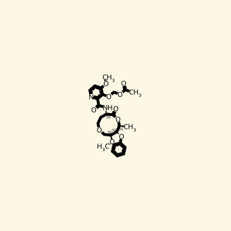 COc1ccnc(C(=O)N[C@H]2CCOC[C@H](OC)[C@@H](Oc3ccccc3)[C@H](C)OC2=O)c1OCOC(C)=O